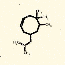 CC1CC(CN(C)C)CC=CCC1(C)C